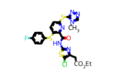 CCOC(=O)Cc1nc(NC(=O)c2nc(Sc3nncn3C)ccc2Sc2ccc(F)cc2)sc1Cl